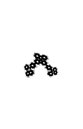 c1ccc(N(c2ccc(-c3ccc(C4(c5ccc(-c6ccc(N(c7ccccc7)c7cccc8ccccc78)cc6)cc5)c5ccccc5-c5ccccc54)cc3)cc2)c2cccc3ccccc23)cc1